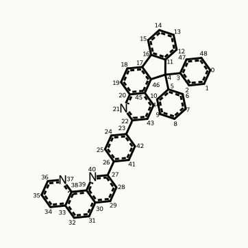 c1ccc(C2(c3ccccc3)c3ccccc3-c3ccc4nc(-c5ccc(-c6ccc7ccc8cccnc8c7n6)cc5)ccc4c32)cc1